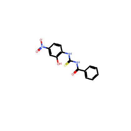 O=C(NC(=S)Nc1ccc([N+](=O)[O-])cc1O)c1ccccc1